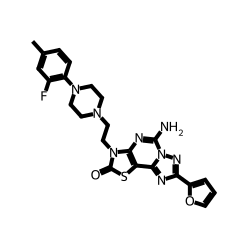 Cc1ccc(N2CCN(CCn3c(=O)sc4c3nc(N)n3nc(-c5ccco5)nc43)CC2)c(F)c1